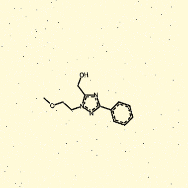 COCCn1nc(-c2ccccc2)nc1CO